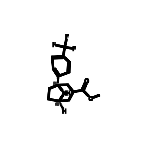 COC(=O)C1C[C@H]2CC[C@@](c3ccc(C(F)(F)F)cc3)(C1)N2